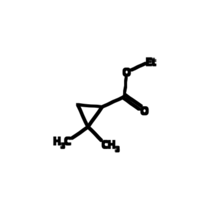 CCOC(=O)C1CC1(C)C